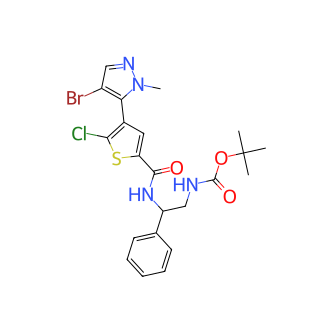 Cn1ncc(Br)c1-c1cc(C(=O)NC(CNC(=O)OC(C)(C)C)c2ccccc2)sc1Cl